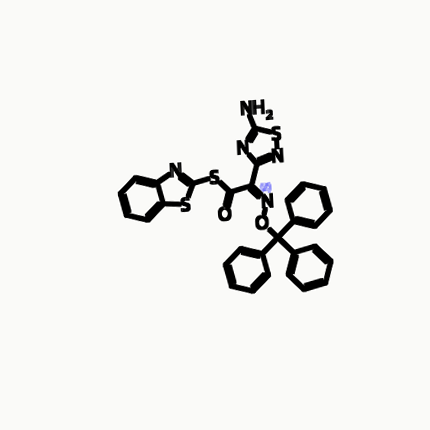 Nc1nc(/C(=N/OC(c2ccccc2)(c2ccccc2)c2ccccc2)C(=O)Sc2nc3ccccc3s2)ns1